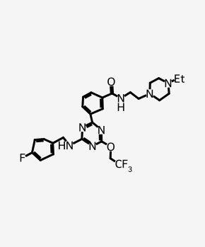 CCN1CCN(CCNC(=O)c2cccc(-c3nc(NCc4ccc(F)cc4)nc(OCC(F)(F)F)n3)c2)CC1